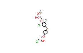 CC[S+]([O-])CC(O)COc1c(Cl)cc(Sc2ccc(OCC(O)CCl)cc2)cc1Cl